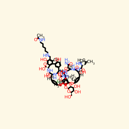 CN[C@H](CC(C)C)C(=O)N[C@H]1C(=O)N[C@@H](CC(N)=O)C(=O)N[C@H]2C(=O)N[C@H]3C(=O)N[C@H](C(=O)N[C@H](C(=O)O)c4cc(O)c(CNCCCCCCNC(C)=O)c(C)c4-c4cc3ccc4O)[C@H](O)c3ccc(c(Cl)c3)Oc3cc2cc(c3O[C@@H]2O[C@H](CO)[C@@H](O)[C@H](O)[C@H]2O[C@H]2C[C@]3(C)NC(=O)O[C@@H]3[C@H](C)O2)Oc2ccc(cc2C)[C@H]1O